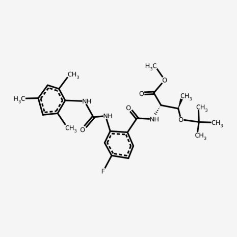 COC(=O)[C@@H](NC(=O)c1ccc(F)cc1NC(=O)Nc1c(C)cc(C)cc1C)[C@@H](C)OC(C)(C)C